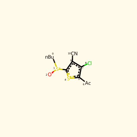 CCCC[S+]([O-])c1sc(C(C)=O)c(Cl)c1C#N